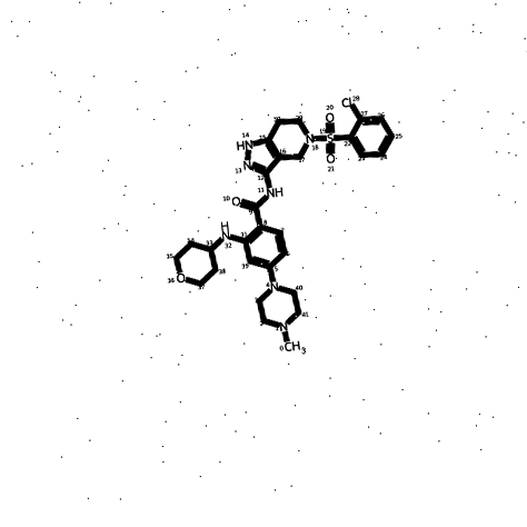 CN1CCN(c2ccc(C(=O)Nc3n[nH]c4c3CN(S(=O)(=O)c3ccccc3Cl)CC4)c(NC3CCOCC3)c2)CC1